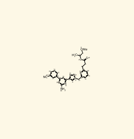 COCC(C)OC(=O)CCc1cccc(Cn2cc(-c3cc(-c4cccc(C#N)c4)nc(N)n3)nn2)n1